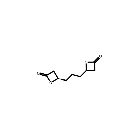 O=C1CC(CCC[C@@H]2CC(=O)O2)O1